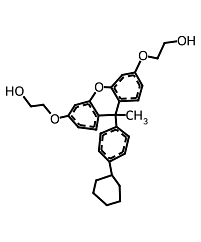 CC1(c2ccc(C3CCCCC3)cc2)c2ccc(OCCO)cc2Oc2cc(OCCO)ccc21